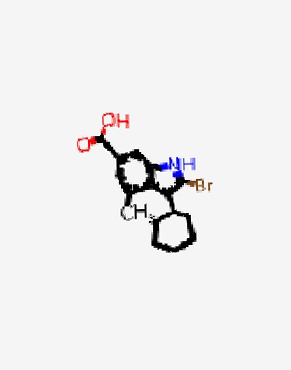 Cc1cc(C(=O)O)cc2[nH]c(Br)c(C3CCCCC3)c12